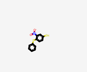 O=[N+]([O-])c1cc(S)ccc1Sc1ccccc1